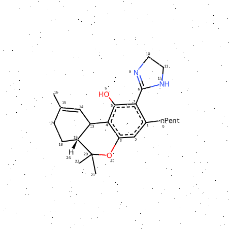 CCCCCc1cc2c(c(O)c1C1=NCCN1)C1C=C(C)CC[C@H]1C(C)(C)O2